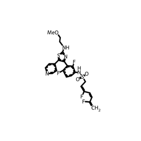 C=C(F)/C=C\C(F)=C/CS(=O)(=O)Nc1ccc(F)c(-c2nc(NCCOC)sc2-c2ccncc2)c1F